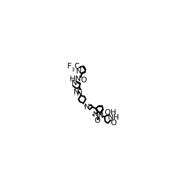 Cn1c(=O)n(C2CCC(=O)NC2O)c2cccc(C3CN(C[C@H]4CC[C@H](n5cc6cc(NC(=O)c7cccc(C(F)(F)F)n7)ncc6n5)CC4)C3)c21